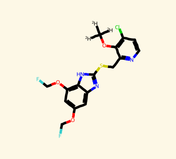 [2H]C([2H])([2H])Oc1c(Cl)ccnc1CSc1nc2cc(OCF)cc(OCF)c2[nH]1